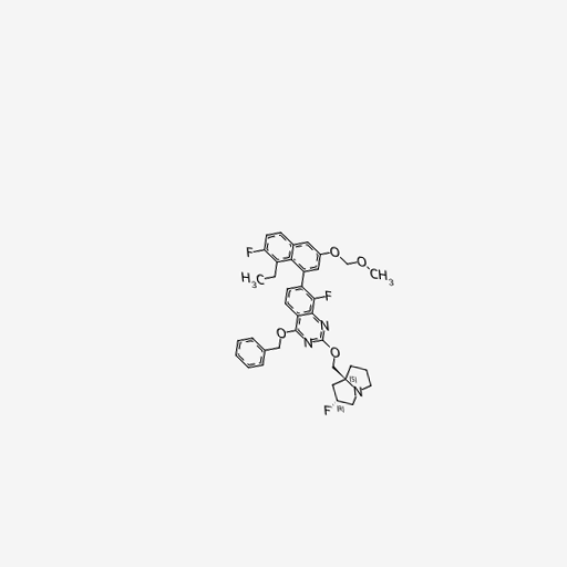 CCc1c(F)ccc2cc(OCOC)cc(-c3ccc4c(OCc5ccccc5)nc(OC[C@@]56CCCN5C[C@H](F)C6)nc4c3F)c12